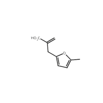 C=C(Cc1ccc(C)o1)C(=O)O